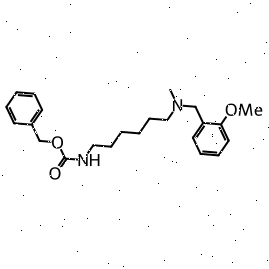 COc1ccccc1CN(C)CCCCCCNC(=O)OCc1ccccc1